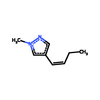 CC/C=C\c1cnn(C)c1